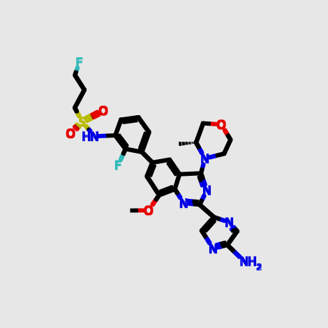 COc1cc(-c2cccc(NS(=O)(=O)CCCF)c2F)cc2c(N3CCOC[C@H]3C)nc(-c3cnc(N)cn3)nc12